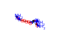 NCc1cnc(N2CCN(CCOCCOCCOCCOCCC(=O)N3CCc4cc(Cn5nc(-c6ccc7oc(N)nc7c6)c6c(N)ncnc65)ccc4C3)CC2)nc1